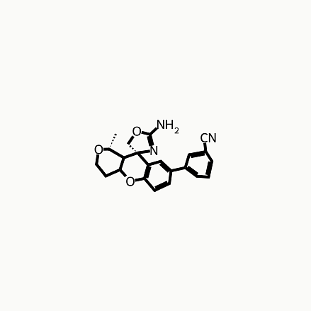 C[C@H]1OCCC2Oc3ccc(-c4cccc(C#N)c4)cc3[C@@]3(COC(N)=N3)C21